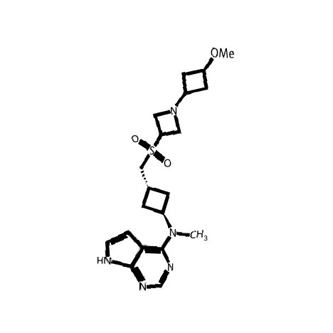 COC1CC(N2CC(S(=O)(=O)C[C@H]3C[C@H](N(C)c4ncnc5[nH]ccc45)C3)C2)C1